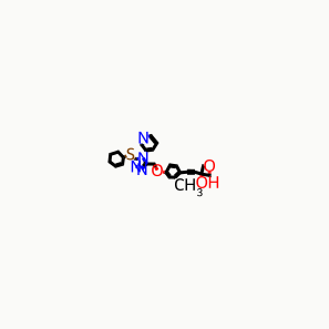 Cc1cc(OCc2nnc(SC3C=CCCC3)n2-c2cccnc2)ccc1C#CC1(O)COC1